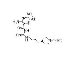 CCCCCN1CCC(CCCCNC(=N)NC(=O)c2nc(Cl)c(N)nc2N)CC1